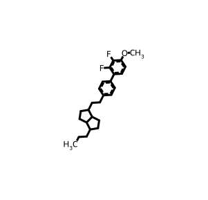 CCCC1CCC2C(CCc3ccc(-c4ccc(OC)c(F)c4F)cc3)CCC12